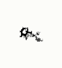 Cc1ccnc(CN[S+]([O-])C(C)(C)C)c1F